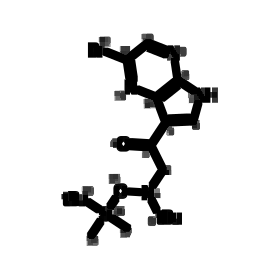 CC(C)(C)N(CC(=O)c1c[nH]c2ncc(Br)nc12)O[Si](C)(C)C(C)(C)C